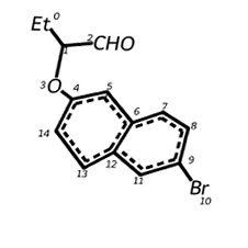 CCC(C=O)Oc1[c]c2ccc(Br)cc2cc1